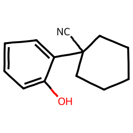 N#CC1(c2ccccc2O)CCCCC1